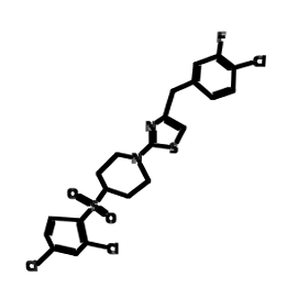 O=S(=O)(c1ccc(Cl)cc1Cl)C1CCN(c2nc(Cc3ccc(Cl)c(F)c3)cs2)CC1